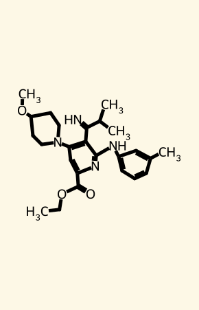 CCOC(=O)c1cc(N2CCC(OC)CC2)c(C(=N)C(C)C)c(Nc2cccc(C)c2)n1